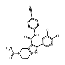 N#Cc1ccc(NC(=O)c2c(-c3cnc(Cl)c(Cl)c3)nn3c2CN(C(N)=O)CC3)cc1